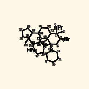 CCCC1(C)C(Br)CC(N2CCCCC2)(N2CCNCC2)[C@]2(C)C3CC[C@]4(C)CCCC4C3CCC12